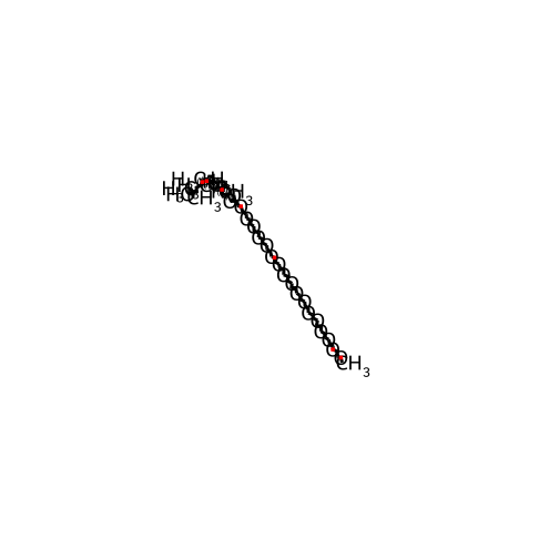 COCCOCCOCCOCCOCCOCCOCCOCCOCCOCCOCCOCCOCCOCCOCCOCCOCCC(=O)O[C@H]1CC[C@@]2(C)C(=CC[C@H]3[C@@H]4CC[C@H]([C@H](C)CCCC(C)(C)O)[C@@]4(C)CC[C@@H]32)C1